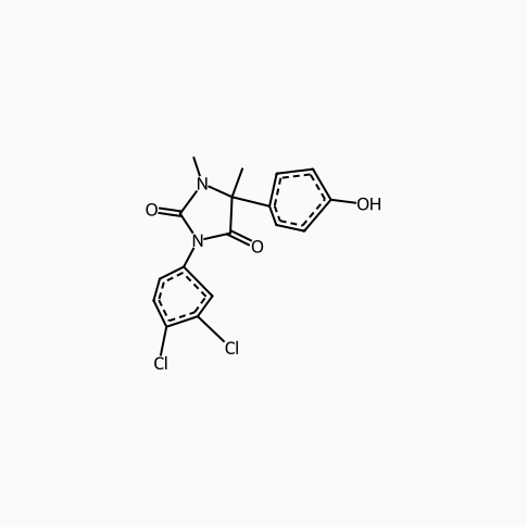 CN1C(=O)N(c2ccc(Cl)c(Cl)c2)C(=O)C1(C)c1ccc(O)cc1